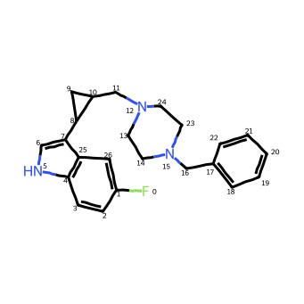 Fc1ccc2[nH]cc(C3CC3CN3CCN(Cc4ccccc4)CC3)c2c1